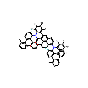 [2H]c1c([2H])c([2H])c(N(c2c(F)ccc(-c3c(C)cccc3C)c2-c2c(C)cccc2C)c2ccc3cc4c5c(ccc6ccc2c3c65)N(c2c(F)ccc(-c3c(C)cccc3C)c2-c2c(C)cccc2C)c2c([2H])c([2H])c([2H])c([2H])c2-4)c([2H])c1[2H]